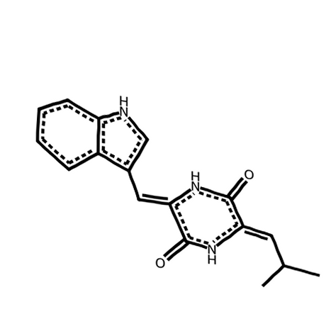 CC(C)C=c1[nH]c(=O)c(=Cc2c[nH]c3ccccc23)[nH]c1=O